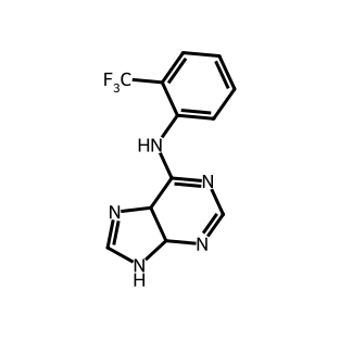 FC(F)(F)c1ccccc1NC1=NC=NC2NC=NC12